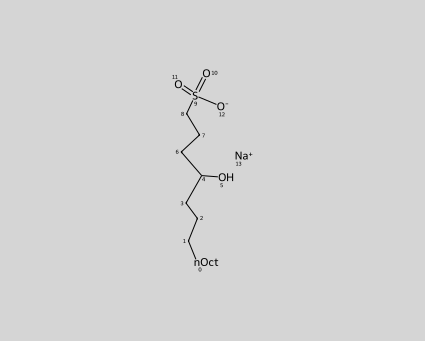 CCCCCCCCCCCC(O)CCCS(=O)(=O)[O-].[Na+]